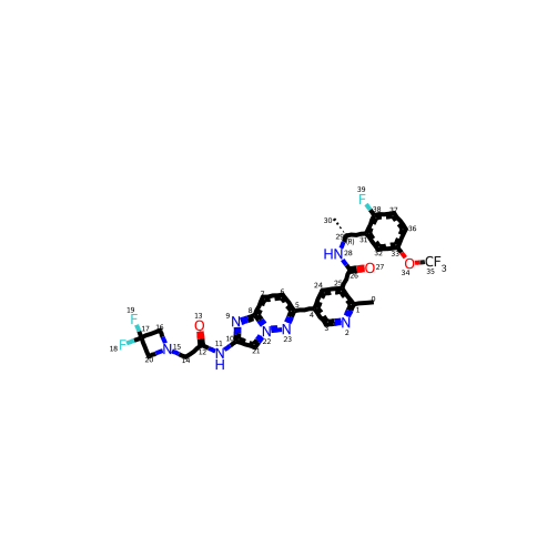 Cc1ncc(-c2ccc3nc(NC(=O)CN4CC(F)(F)C4)cn3n2)cc1C(=O)N[C@H](C)c1cc(OC(F)(F)F)ccc1F